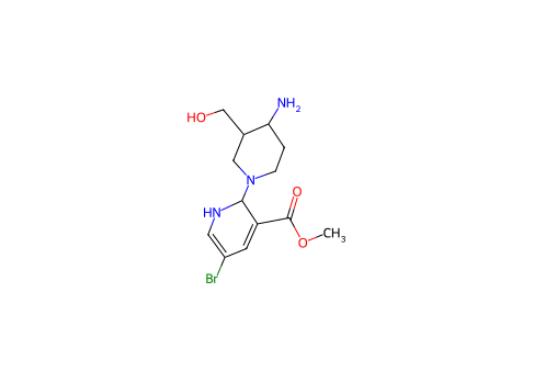 COC(=O)C1=CC(Br)=CNC1N1CCC(N)C(CO)C1